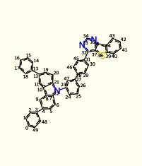 c1ccc(-c2ccc3c(c2)c2cc(-c4ccccc4)ccc2n3-c2cccc(-c3ccc(-c4ncnc5c4sc4ccccc45)cc3)c2)cc1